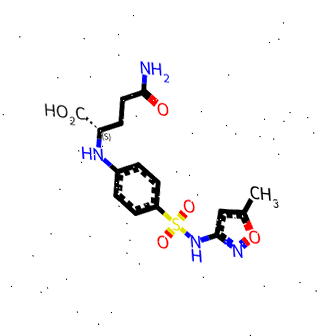 Cc1cc(NS(=O)(=O)c2ccc(N[C@@H](CCC(N)=O)C(=O)O)cc2)no1